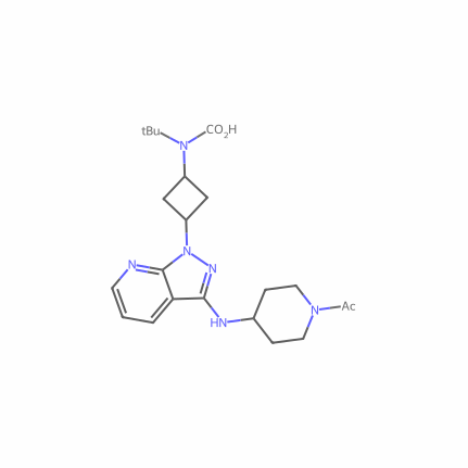 CC(=O)N1CCC(Nc2nn(C3CC(N(C(=O)O)C(C)(C)C)C3)c3ncccc23)CC1